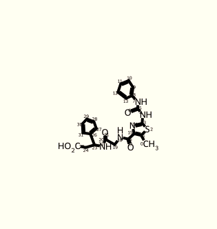 Cc1sc(NC(=O)Nc2ccccc2)nc1C(=O)NCC(=O)NC(CC(=O)O)c1ccccc1